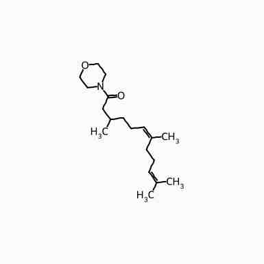 CC(C)=CCCC(C)=CCCC(C)CC(=O)N1CCOCC1